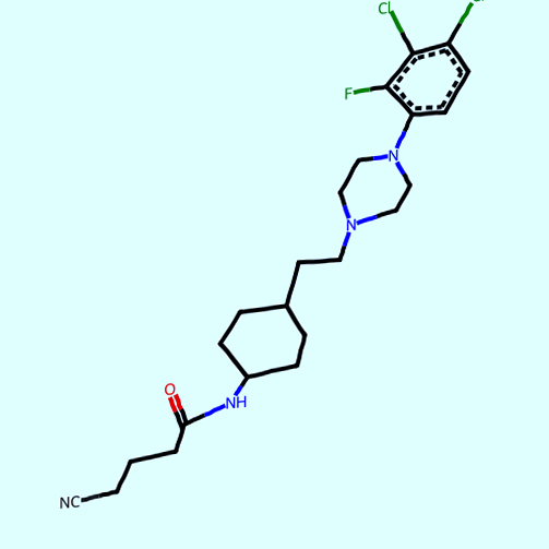 N#CCCCC(=O)NC1CCC(CCN2CCN(c3ccc(Cl)c(Cl)c3F)CC2)CC1